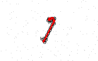 Cc1c(-c2ccc(C[C@H](C)NC(=O)c3c(F)cc(CNC(=O)CCOCCOCCOCCOCCOCCOCCOCCOCCNC(=O)CCN4C(=O)C=CC4=O)cc3F)cc2)c(=O)n(C)c(=O)n1C